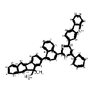 CC1(C)c2cc(-c3ccc(-c4nc(-c5ccccc5)cc(-c5ccc6c(c5)sc5ccccc56)n4)c4ccccc34)ccc2-c2cc3ccccc3cc21